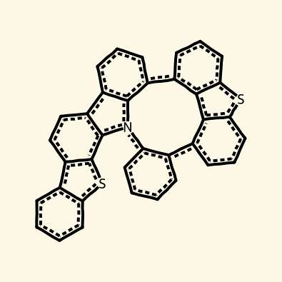 c1ccc2c(c1)sc1c2ccc2c3cccc4c5cccc6sc7cccc(c8ccccc8n(c43)c21)c7c65